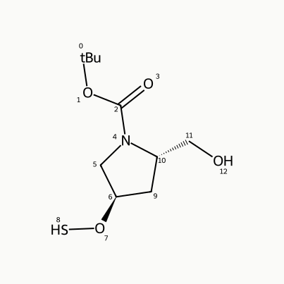 CC(C)(C)OC(=O)N1C[C@H](OS)C[C@H]1CO